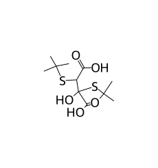 CC(C)(C)SC(C(=O)O)C(O)(SC(C)(C)C)C(=O)O